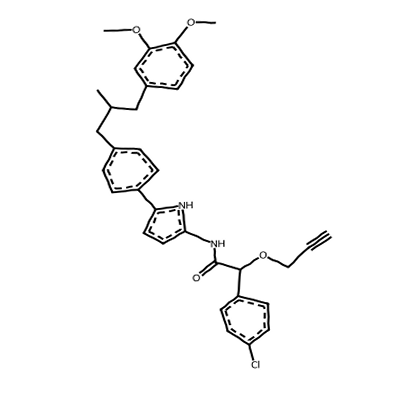 C#CCOC(C(=O)Nc1ccc(-c2ccc(CC(C)Cc3ccc(OC)c(OC)c3)cc2)[nH]1)c1ccc(Cl)cc1